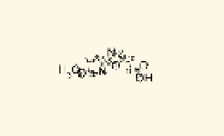 COc1ccc(-c2ncc(CCC(=O)O)o2)nc1